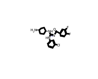 N[C@H]1CC[C@H](N/C(=N\C(=O)c2ccc(F)c(F)c2)Nc2cccc(Cl)c2)CC1